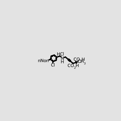 CCCCCCCCCc1ccc(CNCC#CCC(C)(C(=O)O)C(=O)O)cc1Cl.Cl